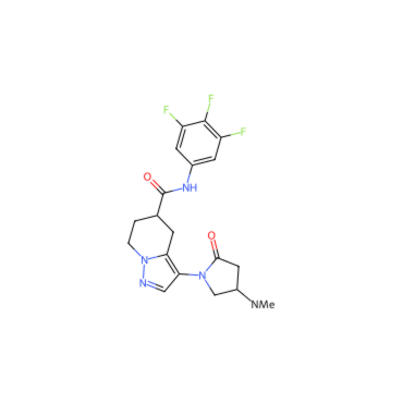 CNC1CC(=O)N(c2cnn3c2CC(C(=O)Nc2cc(F)c(F)c(F)c2)CC3)C1